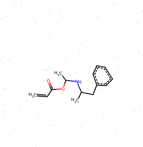 C=CC(=O)OC(C)NC(C)Cc1ccccc1